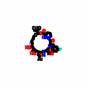 CC(=O)CC[C@H]1C(=O)N[C@@H](C(C)C)C(=O)N[C@@H](Cc2cc(O)cc(F)c2)C(=O)N2CCCC(N2)C(=O)O[C@H](/C(C)=C/C=O)C/C=C/C=C/[C@H](O)[C@H](C)[C@H]1O